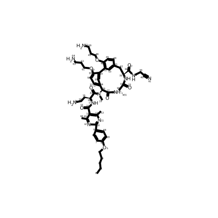 CCCCCOc1ccc(-c2nc(C)c(C(=O)N[C@@H](CCN)C(=O)N(C)[C@@H]3C(=O)N[C@@H](C)C(=O)N[C@H](C(=O)NCC#N)Cc4ccc(OCCCN)c(c4)-c4cc3ccc4OCCCN)c(C)n2)cc1